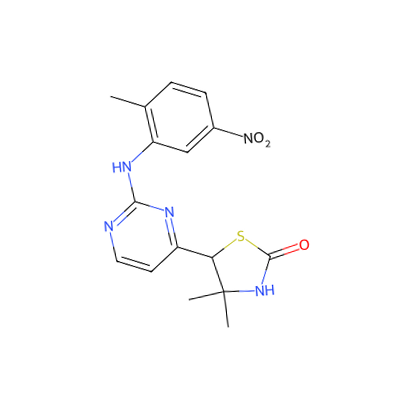 Cc1ccc([N+](=O)[O-])cc1Nc1nccc(C2SC(=O)NC2(C)C)n1